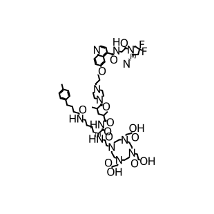 Cc1ccc(CCCC(=O)NCCCC[C@H](NC(=O)CN2CCN(CC(=O)O)CCN(CC(=O)O)CCN(CC(=O)O)CC2)C(=O)NC(=O)C(C)CC(C)C(=O)N2CCN(CCCOc3ccc4nccc(C(=O)NCC(=O)N5CC(F)(F)C[C@@H]5C#N)c4c3)CC2)cc1